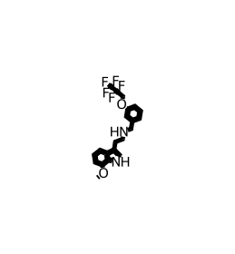 COc1cccc2c(CCNCc3cccc(OCC(F)(F)C(F)(F)F)c3)c[nH]c12